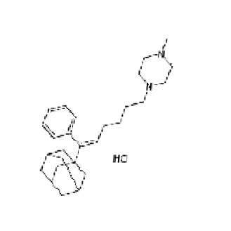 CN1CCN(CCCCC=C(c2ccccc2)C23CC4CC(CC(C4)C2)C3)CC1.Cl